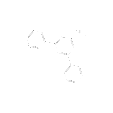 Nc1nc(-c2cccnc2)nc(-c2cccnc2)n1